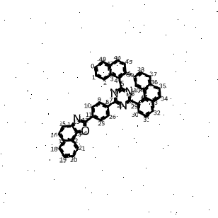 c1ccc2c(-c3nc(-c4ccc(-c5nc6ccc7ccccc7c6o5)cc4)nc(-c4cccc5ccc6ccccc6c45)n3)cccc2c1